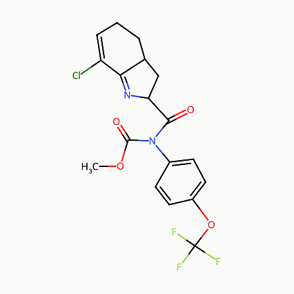 COC(=O)N(C(=O)C1CC2CCC=C(Cl)C2=N1)c1ccc(OC(F)(F)F)cc1